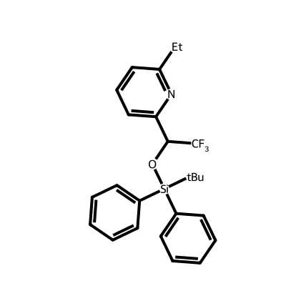 CCc1cccc(C(O[Si](c2ccccc2)(c2ccccc2)C(C)(C)C)C(F)(F)F)n1